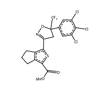 COC(=O)c1sc(C2=NOC(c3cc(Cl)c(Cl)c(Cl)c3)(C(F)(F)F)C2)c2c1CCC2